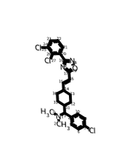 CN(C)C(c1ccc(Cl)cc1)C1CCC(C=Cc2nc(-c3cccc(Cl)c3Cl)no2)CC1